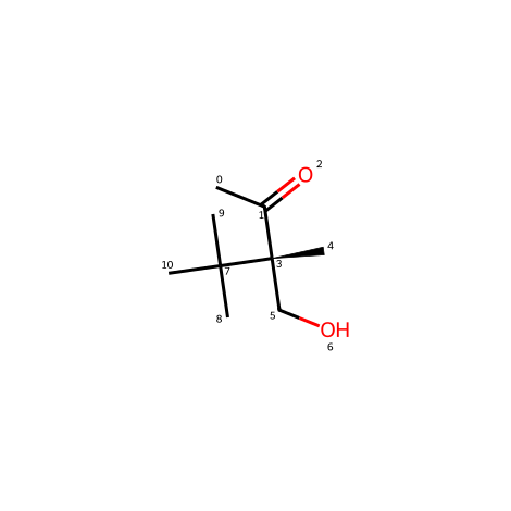 CC(=O)[C@](C)(CO)C(C)(C)C